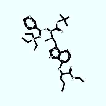 CCCC(Oc1cccc2c(C[C@@H](C)N(C[C@H](O[Si](CC)(CC)CC)c3cccnc3)C(=O)OC(C)(C)C)c[nH]c12)C(=O)OCC